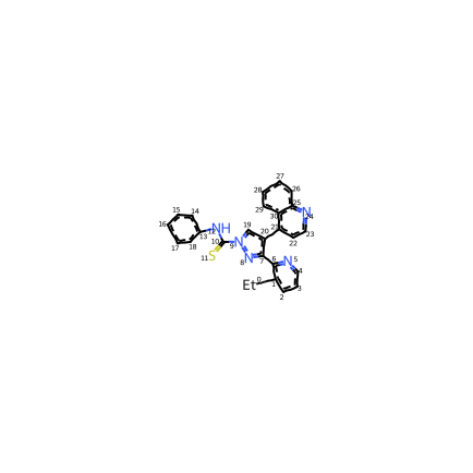 CCc1cccnc1-c1nn(C(=S)Nc2ccccc2)cc1-c1ccnc2ccccc12